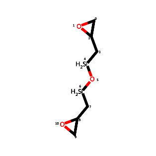 C1OC1C[SiH2]O[SiH2]CC1CO1